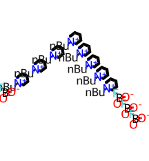 CCCC[n+]1ccccc1.CCCC[n+]1ccccc1.CCCC[n+]1ccccc1.CCCC[n+]1ccccc1.CCCC[n+]1ccccc1.CCCC[n+]1ccccc1.CCCC[n+]1ccccc1.CCCC[n+]1ccccc1.[O-]B([O-])F.[O-]B([O-])F.[O-]B([O-])F.[O-]B([O-])F